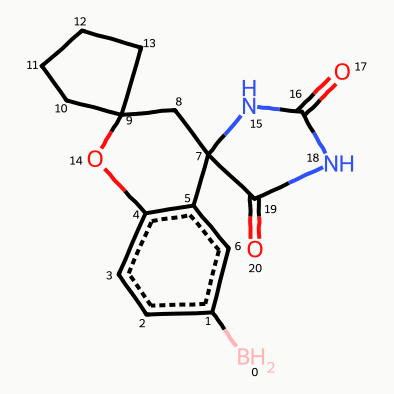 Bc1ccc2c(c1)C1(CC3(CCCC3)O2)NC(=O)NC1=O